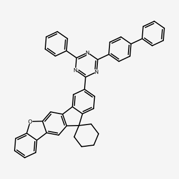 c1ccc(-c2ccc(-c3nc(-c4ccccc4)nc(-c4ccc5c(c4)-c4cc6oc7ccccc7c6cc4C54CCCCC4)n3)cc2)cc1